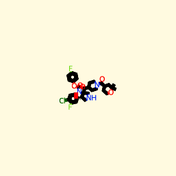 CCN(C(=O)Oc1ccc(F)cc1)[C@]1(C(=O)C2CCN(C(=O)C3CCOC(C)(C)C3)CC2)CNC[C@H]1c1ccc(Cl)c(F)c1